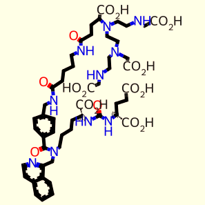 O=C(O)CC[C@@H](NC(=O)N[C@H](CCCCN(Cc1nccc2ccccc12)C(=O)c1ccc(CNC(=O)CCCCNC(=O)CCC(C(=O)O)N(CCNCC(=O)O)CCN(CCNCC(=O)O)CC(=O)O)cc1)C(=O)O)C(=O)O